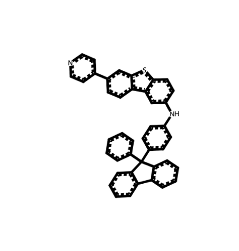 c1ccc(C2(c3ccc(Nc4ccc5sc6cc(-c7ccncc7)ccc6c5c4)cc3)c3ccccc3-c3ccccc32)cc1